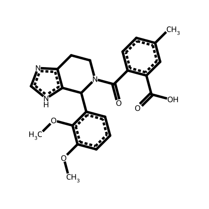 COc1cccc(C2c3[nH]cnc3CCN2C(=O)c2ccc(C)cc2C(=O)O)c1OC